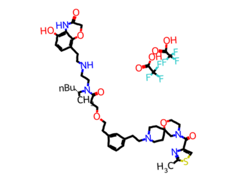 CCCC[C@@H](C)N(CCNCCc1ccc(O)c2c1OCC(=O)N2)C(=O)CCOCCc1cccc(CCN2CCC3(CC2)CN(C(=O)c2csc(C)n2)CCO3)c1.O=C(O)C(F)(F)F.O=C(O)C(F)(F)F